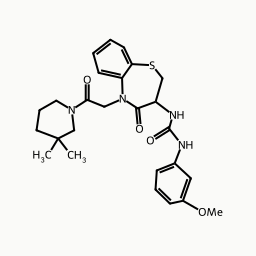 COc1cccc(NC(=O)NC2CSc3ccccc3N(CC(=O)N3CCCC(C)(C)C3)C2=O)c1